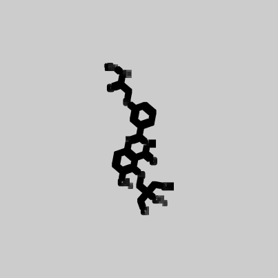 Cc1ccc2nc(-c3cccc(OCC(=O)NC(C)(C)C)c3)[nH]c(=O)c2c1OCC(C)(CO)CCl